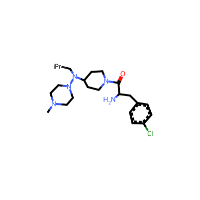 CC(C)CN(C1CCN(C(=O)C(N)Cc2ccc(Cl)cc2)CC1)N1CCN(C)CC1